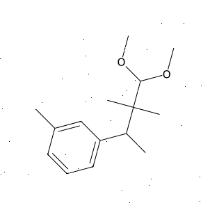 COC(OC)C(C)(C)C(C)c1cccc(C)c1